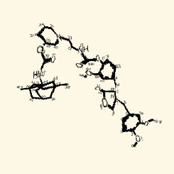 COc1ccc(C[C@H]2COC(=O)[C@@H]2Cc2ccc(OC(=O)NCCN3CCC[C@H](OC(=O)NC45CC6CC(C)(CC(C)(C6)C4)C5)C3)c(OC)c2)cc1OC